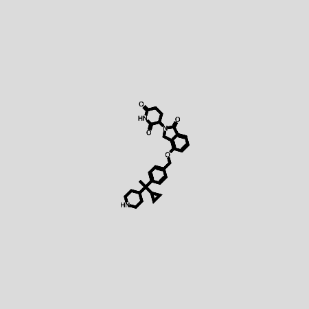 CC(c1ccc(COc2cccc3c2CN(C2CCC(=O)NC2=O)C3=O)cc1)(C1CCNCC1)C1CC1